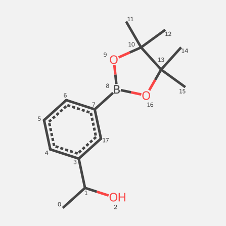 CC(O)c1cccc(B2OC(C)(C)C(C)(C)O2)c1